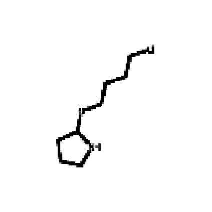 ClCCCCOC1CCCN1